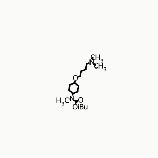 CC(C)COC(=O)N(C)C1CCC(OCCCCN(C)C)CC1